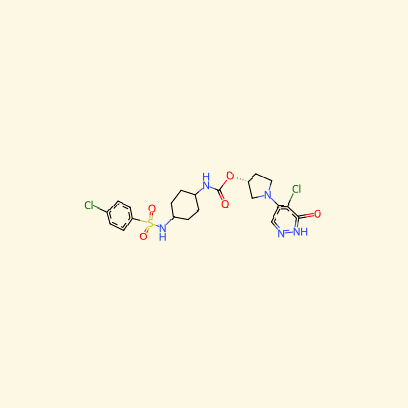 O=C(NC1CCC(NS(=O)(=O)c2ccc(Cl)cc2)CC1)O[C@@H]1CCN(c2cn[nH]c(=O)c2Cl)C1